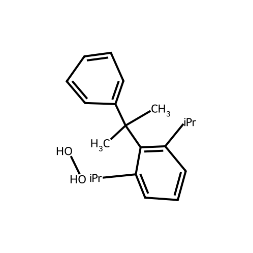 CC(C)c1cccc(C(C)C)c1C(C)(C)c1ccccc1.OO